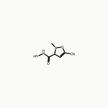 CCCNC(=O)C1C=C(C#N)ON1C